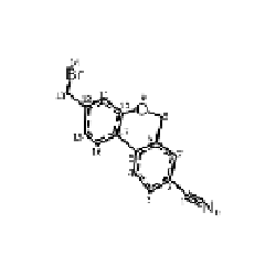 N#Cc1ccc2c(c1)COc1cc(CBr)ccc1-2